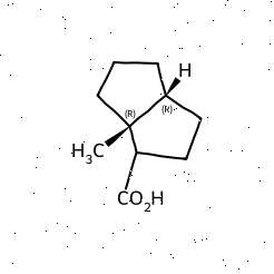 C[C@@]12CCC[C@@H]1CCC2C(=O)O